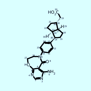 Nc1ncnc2c1C(=O)N(c1ccc([C@@H]3CC[C@@H]4[C@@H](CC(=O)O)CC[C@@H]43)cc1)CCO2